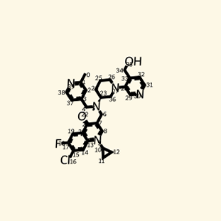 Cc1cc(CN(Cc2cn(C3CC3)c3cc(Cl)c(F)cc3c2=O)[C@H]2CCCN(c3cnccc3CO)C2)ccn1